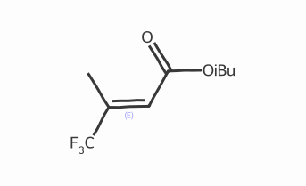 C/C(=C\C(=O)OCC(C)C)C(F)(F)F